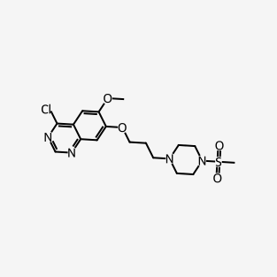 COc1cc2c(Cl)ncnc2cc1OCCCN1CCN(S(C)(=O)=O)CC1